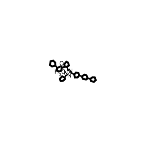 CN1C(c2cccc3oc4c(-c5ccccc5)cccc4c23)=NC(c2ccc(-c3ccc(-c4ccccc4)cc3)cc2)=NC1c1ccccc1